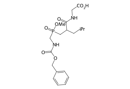 COP(=O)(CNC(=O)OCc1ccccc1)CC(CC(C)C)C(=O)NCC(=O)O